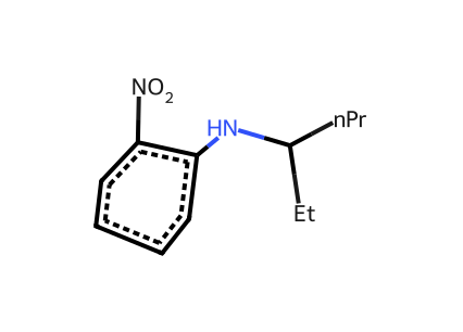 CCCC(CC)Nc1ccccc1[N+](=O)[O-]